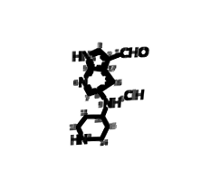 Cl.O=Cc1c[nH]c2ncc(NC3CCNCC3)cc12